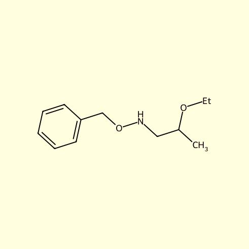 CCOC(C)CNOCc1ccccc1